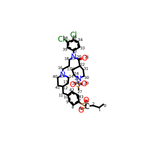 CCCCS(=O)(=O)c1ccc(CC2CCN(CCCN(C(=O)C3CCN(S(C)(=O)=O)CC3)c3ccc(Cl)c(Cl)c3)CC2)cc1